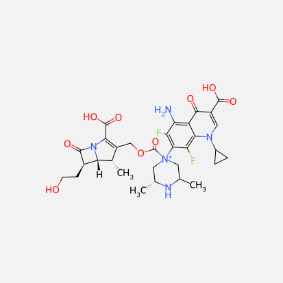 CC1C[N+](C(=O)OCC2=C(C(=O)O)N3C(=O)[C@H](CCO)[C@H]3[C@H]2C)(c2c(F)c(N)c3c(=O)c(C(=O)O)cn(C4CC4)c3c2F)C[C@@H](C)N1